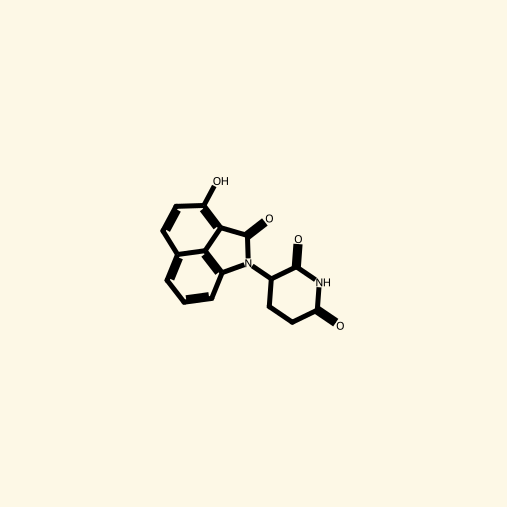 O=C1CCC(N2C(=O)c3c(O)ccc4cccc2c34)C(=O)N1